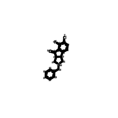 O=C1c2c(ccc(Cl)c2F)C2CN(Cc3ccccc3)CC12